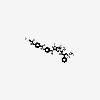 C=CC(=O)Nc1ccc(C(=O)Nc2ccc(Nc3n[nH]c4c3CN(C(=O)NC(CN(C)C)c3ccccc3)C4(C)C)cc2)cc1